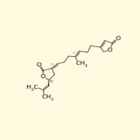 CC(C)=C[C@@H]1C/C(=C\CC/C(C)=C/CCC2=CC(=O)OC2)C(=O)O1